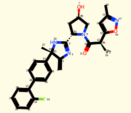 C=C1N=C([C@@H]2C[C@@H](O)CN2C(=O)[C@@H](c2cc(C)no2)C(C)C)N[C@@]1(C)c1ccc(-c2ccccc2F)cc1